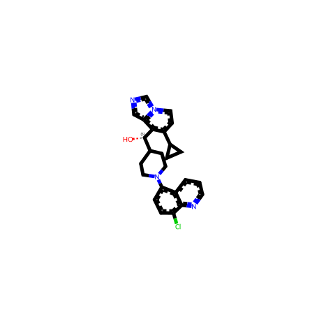 O[C@H](c1c(C2CC2)ccn2cncc12)C1CCN(c2ccc(Cl)c3ncccc23)CC1